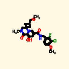 COCC1CC2(C1)CN(C)C(=O)C1=C(O)CC(C(=O)NCc3ccc(OC)c(Cl)c3F)=CN12